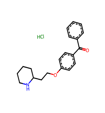 Cl.O=C(c1ccccc1)c1ccc(OCCC2CCCCN2)cc1